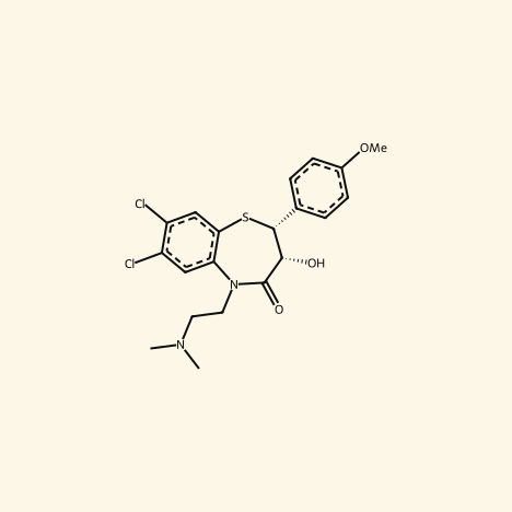 COc1ccc([C@H]2Sc3cc(Cl)c(Cl)cc3N(CCN(C)C)C(=O)[C@H]2O)cc1